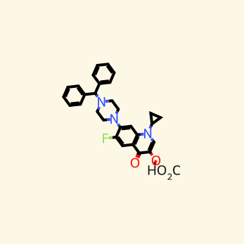 O=C(O)Oc1cn(C2CC2)c2cc(N3CCN(C(c4ccccc4)c4ccccc4)CC3)c(F)cc2c1=O